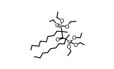 CCCCCCCCC(C)(C(=O)C(C)(CCCCCCCC)[Si](OCC)(OCC)OCC)[Si](OCC)(OCC)OCC